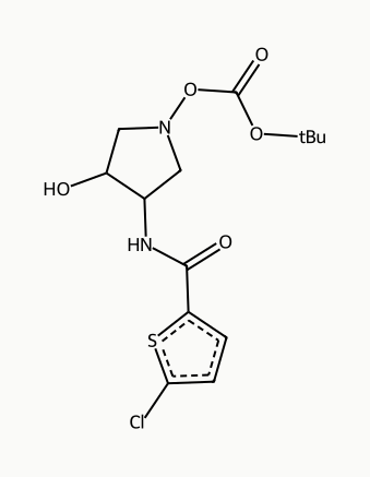 CC(C)(C)OC(=O)ON1CC(O)C(NC(=O)c2ccc(Cl)s2)C1